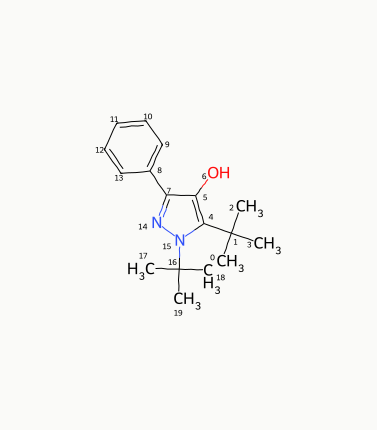 CC(C)(C)c1c(O)c(-c2ccccc2)nn1C(C)(C)C